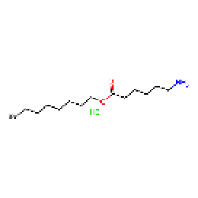 CC(C)CCCCCCCOC(=O)CCCCCN.Cl